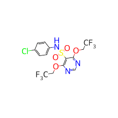 O=S(=O)(Nc1ccc(Cl)cc1)c1c(OCC(F)(F)F)ncnc1OCC(F)(F)F